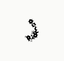 Cc1cc(F)ccc1Nc1nc2ccc3c(C)c(C=CCN4CCN(c5ccccc5)CC4)[nH]c(=O)c3c2n1C